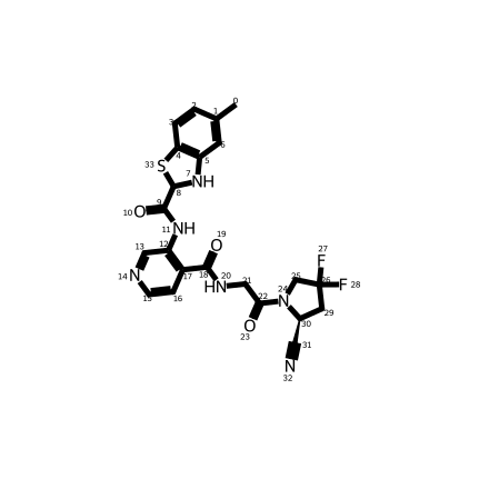 Cc1ccc2c(c1)NC(C(=O)Nc1cnccc1C(=O)NCC(=O)N1CC(F)(F)C[C@H]1C#N)S2